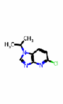 CC(C)n1cnc2nc(Cl)ccc21